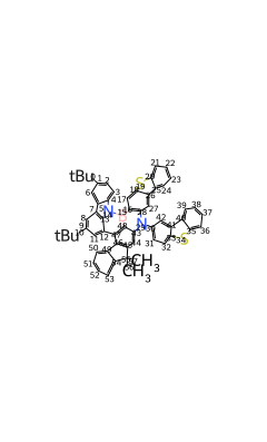 CC(C)(C)c1ccc2c(c1)c1cc(C(C)(C)C)cc3c1n2B1c2cc4sc5ccccc5c4cc2N(c2ccc4sc5ccccc5c4c2)c2cc4c(c-3c21)-c1ccccc1C4(C)C